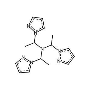 CC(N(C(C)n1cccn1)C(C)n1cccn1)n1cccn1